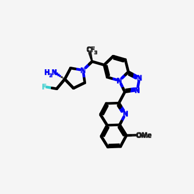 COc1cccc2ccc(-c3nnc4ccc([C@@H](N5CC[C@@](N)(CF)C5)C(F)(F)F)cn34)nc12